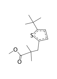 COC(=O)C(C)(C)Cc1ccc(C(C)(C)C)s1